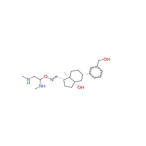 CNCC(NC)ON=C[C@H]1CC[C@]2(O)C[C@@H](c3cccc(CO)c3)CC[C@]12C